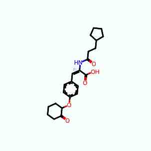 O=C(CCC1CCCC1)N/C(=C/c1ccc(OC2CCCCC2=O)cc1)C(=O)O